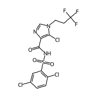 O=C(NS(=O)(=O)c1cc(Cl)ccc1Cl)c1ncn(CCC(F)(F)F)c1Cl